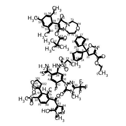 CCOC(=O)C1=NOC(c2ccccc2)(c2ccccc2)C1.CCS(=O)(=O)Nc1cc(-n2nc(C(F)(F)F)n(C)c2=O)c(F)cc1C(N)=S.CCc1cc(C)cc(CC)c1-c1c(OC(=O)C(C)(C)C)n2n(c1=O)CCOCC2.Cc1c(C(=O)c2cnn(C)c2O)ccc(S(C)(=O)=O)c1C1=NOCC1